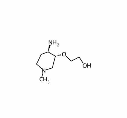 CN1CC[C@@H](N)[C@H](OCCO)C1